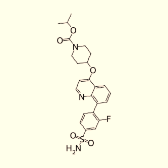 CC(C)OC(=O)N1CCC(Oc2ccnc3c(-c4ccc(S(N)(=O)=O)cc4F)cccc23)CC1